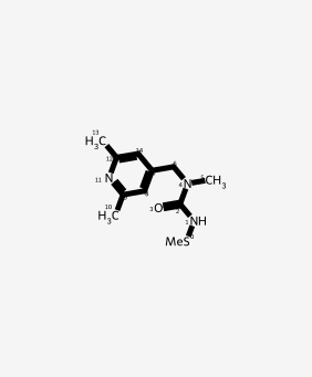 CSNC(=O)N(C)Cc1cc(C)nc(C)c1